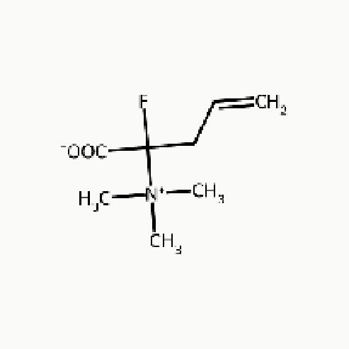 C=CCC(F)(C(=O)[O-])[N+](C)(C)C